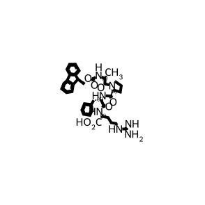 C[C@H](NC(=O)OCC1c2ccccc2-c2ccccc21)C(=O)N1CCC[C@H]1C(=O)N[C@@H](Cc1ccccc1)C(=O)N[C@@H](CCCNC(=N)N)C(=O)O